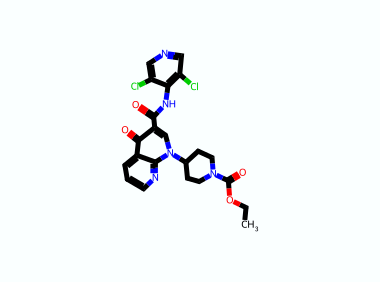 CCOC(=O)N1CCC(n2cc(C(=O)Nc3c(Cl)cncc3Cl)c(=O)c3cccnc32)CC1